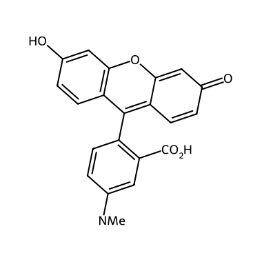 CNc1ccc(-c2c3ccc(=O)cc-3oc3cc(O)ccc23)c(C(=O)O)c1